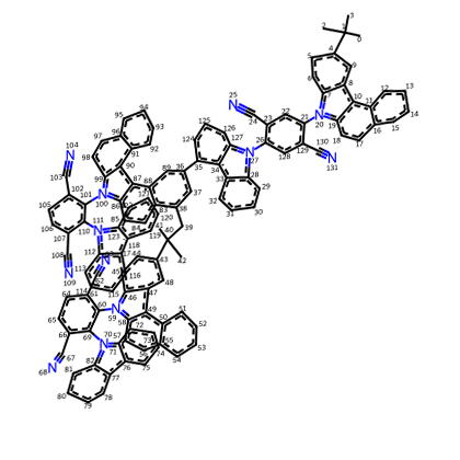 CC(C)(C)c1ccc2c(c1)c1c3ccccc3ccc1n2-c1cc(C#N)c(-n2c3ccccc3c3c(-c4cc(CC(C)(C)c5ccc6c(c5)c5c7ccccc7ccc5n6-c5c(C#N)ccc(C#N)c5-n5c6ccccc6c6ccccc65)c5ccc6c(c5c4)c4c5ccccc5ccc4n6-c4c(C#N)ccc(C#N)c4-n4c5ccccc5c5ccccc54)cccc32)cc1C#N